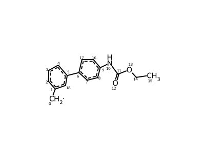 [CH2]c1cccc(-c2ccc(NC(=O)OCC)cc2)c1